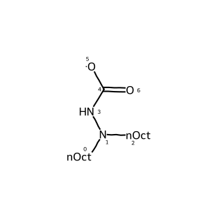 CCCCCCCCN(CCCCCCCC)NC([O])=O